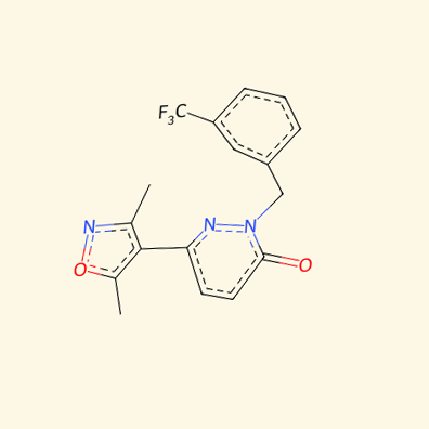 Cc1noc(C)c1-c1ccc(=O)n(Cc2cccc(C(F)(F)F)c2)n1